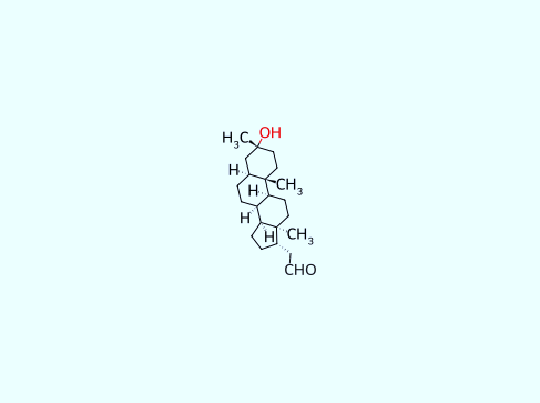 C[C@@]1(O)CC[C@@]2(C)[C@@H](CC[C@@H]3[C@@H]4CC[C@@H](CC=O)[C@]4(C)CC[C@@H]32)C1